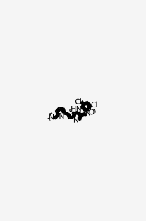 COc1cc(Nc2c(C#N)cnc3cc(-c4cccc(CN(C)C)n4)sc23)c(Cl)cc1Cl